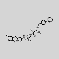 CC(C)(CNC(=O)CC(N)Cc1cc(F)ccc1F)CNC(=O)C(O)C(N)COCc1ccc(-c2cccnc2)cc1